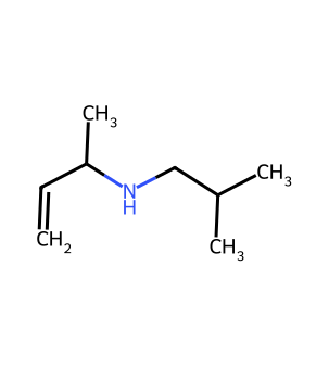 C=CC(C)NCC(C)C